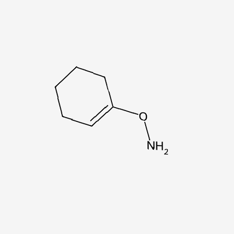 NOC1=CCCCC1